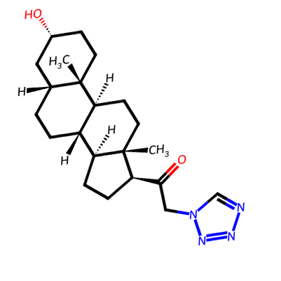 C[C@]12CC[C@@H](O)C[C@H]1CC[C@@H]1[C@@H]2CC[C@]2(C)[C@@H](C(=O)Cn3cnnn3)CC[C@@H]12